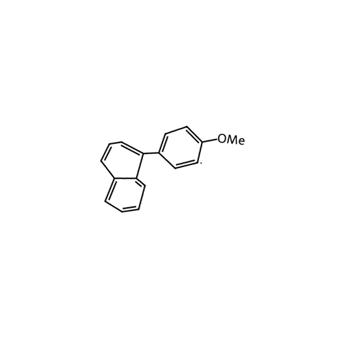 COc1[c]cc(-c2cccc3ccccc23)cc1